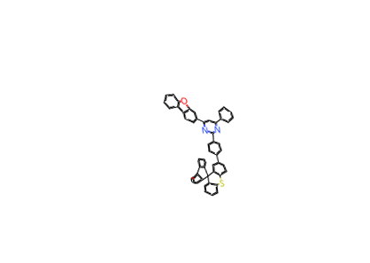 c1ccc(-c2cc(-c3ccc4c(c3)oc3ccccc34)nc(-c3ccc(-c4ccc5c(c4)C4(c6ccccc6S5)c5ccccc5-c5ccccc54)cc3)n2)cc1